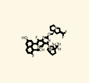 [2H]C([2H])([2H])C12CCC(CN(c3nc(OC[C@@]45CCCN4CC(=C(F)F)C5)nc4c(F)c(-c5cc(O)cc6ccc(F)c(C#C)c56)ncc34)C1)N2